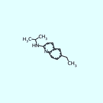 CCc1ccc2nc(NC(C)C)ccc2c1